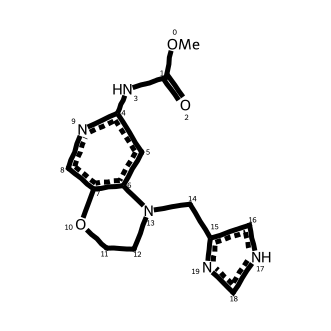 COC(=O)Nc1cc2c(cn1)OCCN2Cc1c[nH]cn1